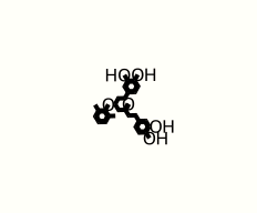 Cc1cccc(C)c1OC(CCc1ccc(O)c(O)c1)CC(=O)CCc1ccc(O)c(O)c1